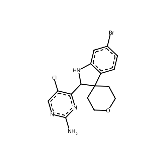 Nc1ncc(Cl)c(C2Nc3cc(Br)ccc3C23CCOCC3)n1